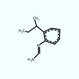 CCC(C)c1ccccc1N=CN